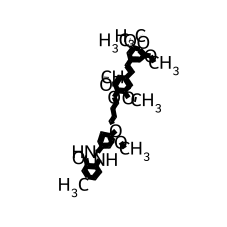 COc1cc(C2NC(=O)c3cc(C)ccc3N2)ccc1OCCCCOc1c(OC)cc(/C=C/c2cc(OC)c(OC)c(OC)c2)cc1OC